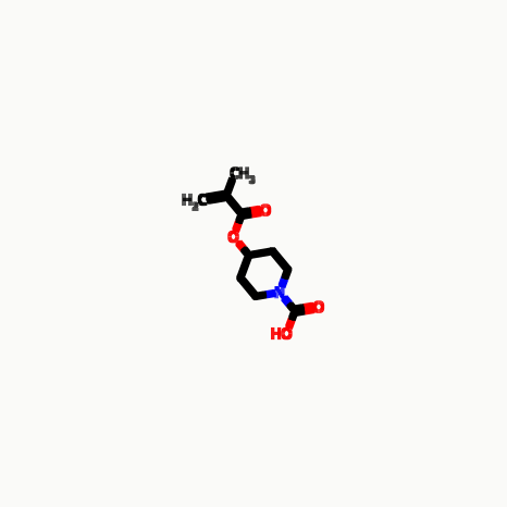 C=C(C)C(=O)OC1CCN(C(=O)O)CC1